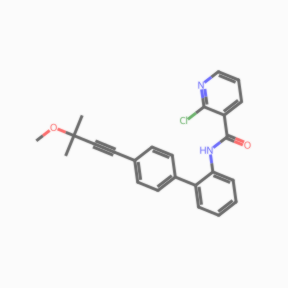 COC(C)(C)C#Cc1ccc(-c2ccccc2NC(=O)c2cccnc2Cl)cc1